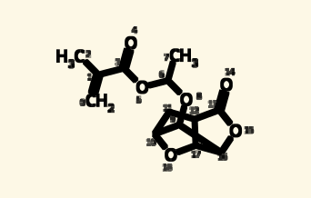 C=C(C)C(=O)OC(C)OC1C2CC3C(=O)OC1C3O2